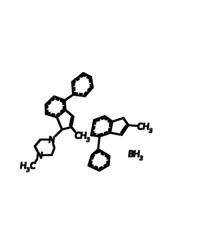 B.CC1=Cc2c(-c3ccccc3)cccc2C1N1CCN(C)CC1.CC1=Cc2c(cccc2-c2ccccc2)C1